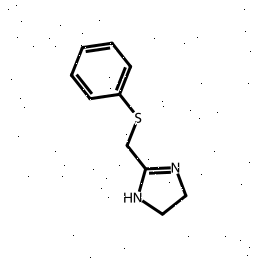 c1ccc(SCC2=NCCN2)cc1